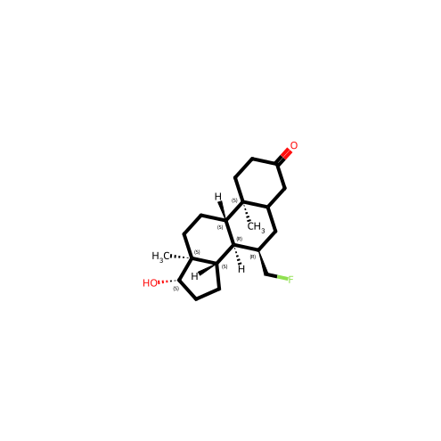 C[C@]12CC[C@H]3[C@@H]([C@H](CF)CC4CC(=O)CC[C@@]43C)[C@@H]1CC[C@@H]2O